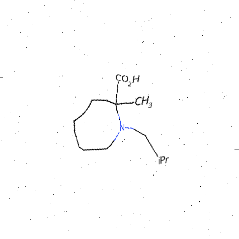 CC(C)CN1CCCCC1(C)C(=O)O